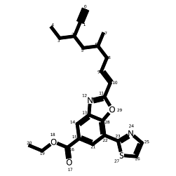 C#CC(CC)CC(C)C/C=C/c1nc2cc(C(=O)OCC)cc(-c3nccs3)c2o1